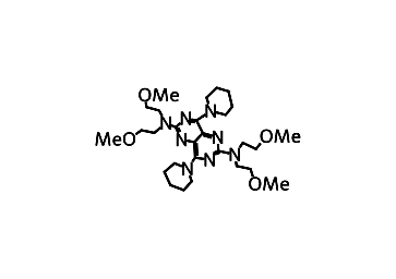 COCCN(CCOC)c1nc(N2CCCCC2)c2nc(N(CCOC)CCOC)nc(N3CCCCC3)c2n1